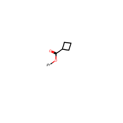 CC(C)OC(=O)C1CCC1